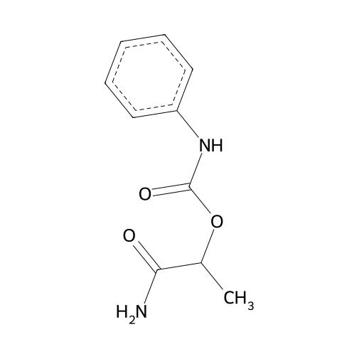 CC(OC(=O)Nc1ccccc1)C(N)=O